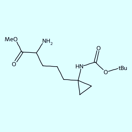 COC(=O)C(N)CCCC1(NC(=O)OC(C)(C)C)CC1